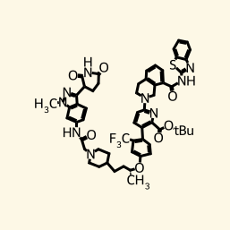 C[C@H](CCC1CCN(CC(=O)Nc2ccc3c(C4CCC(=O)NC4=O)nn(C)c3c2)CC1)Oc1ccc(-c2ccc(N3CCc4cccc(C(=O)Nc5nc6ccccc6s5)c4C3)nc2C(=O)OC(C)(C)C)c(C(F)(F)F)c1